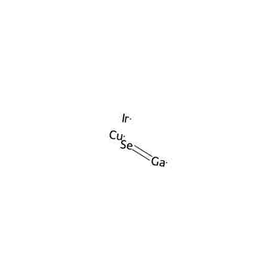 [Cu].[Ga]=[Se].[Ir]